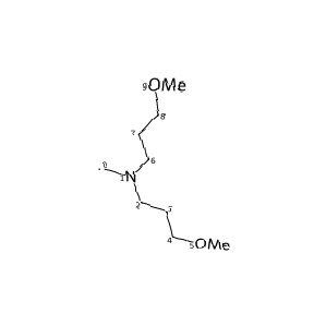 [CH2]N(CCCOC)CCCOC